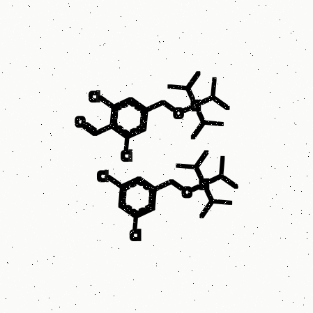 CC(C)[Si](OCc1cc(Cl)c(C=O)c(Cl)c1)(C(C)C)C(C)C.CC(C)[Si](OCc1cc(Cl)cc(Cl)c1)(C(C)C)C(C)C